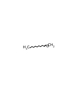 [CH2]OC=CCCCCCCCCC